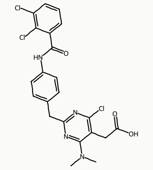 CN(C)c1nc(Cc2ccc(NC(=O)c3cccc(Cl)c3Cl)cc2)nc(Cl)c1CC(=O)O